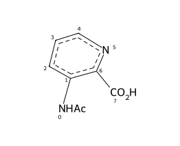 CC(=O)Nc1cccnc1C(=O)O